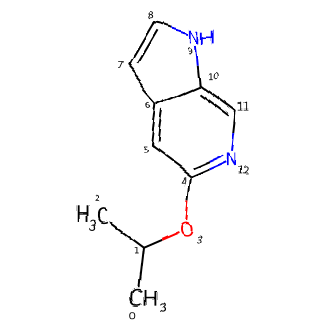 CC(C)Oc1cc2cc[nH]c2cn1